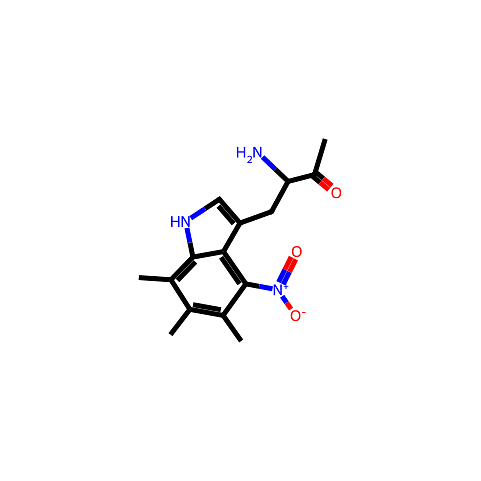 CC(=O)C(N)Cc1c[nH]c2c(C)c(C)c(C)c([N+](=O)[O-])c12